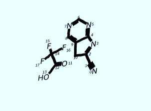 N#CC1=Nc2ncncc2C1.O=C(O)C(F)(F)F